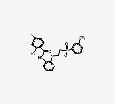 O=C(Nc1cccnc1SCCS(=O)(=O)c1cccc(C(F)(F)F)c1)c1ccc(F)cc1O